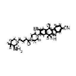 CCc1cc2c(cc1N1CCN(C(=O)CCCN3CCC(C)(C)C(N)C3)CC1)C(C)(C)c1[nH]c3cc(C#N)ccc3c1C2=O